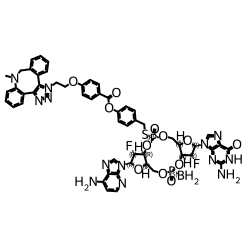 B[P@]1(=O)OC[C@H]2O[C@@H](n3cnc4c(N)ccnc43)[C@H](F)[C@@H]2O[P@](=O)(SCc2ccc(OC(=O)c3ccc(OCCn4nnc5c4-c4ccccc4CN(C)c4ccccc4-5)cc3)cc2)OC[C@H]2O[C@@H](n3cnc4c(=O)[nH]c(N)nc43)[C@H](F)[C@@H]2O1